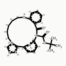 CC(C)(C)OC(=O)N1C(=O)c2ccccc2OCCCCCn2cnnc2-c2cccc1n2